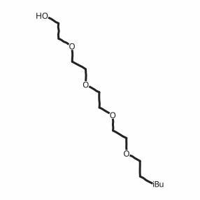 CCC(C)CCOCCOCCOCCOCCO